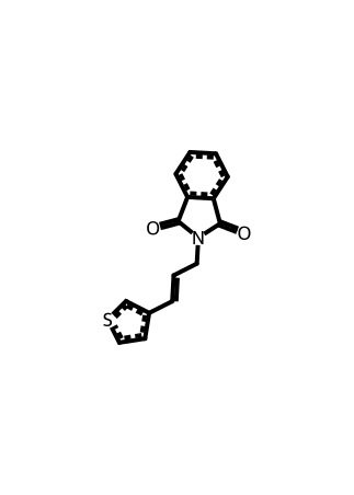 O=C1c2ccccc2C(=O)N1C/C=C/c1ccsc1